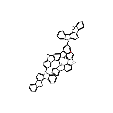 c1ccc2c(c1)oc1c2ccc2c1c1ccccc1n2-c1ccc2oc3c(-n4c5ccccc5c5ccc6oc7ccccc7c6c54)c4c(cc3c2c1)oc1ccc(-n2c3ccccc3c3c5oc6ccccc6c5ccc32)cc14